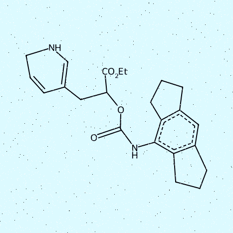 CCOC(=O)C(CC1=CNCC=C1)OC(=O)Nc1c2c(cc3c1CCC3)CCC2